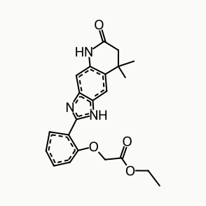 CCOC(=O)COc1ccccc1-c1nc2cc3c(cc2[nH]1)C(C)(C)CC(=O)N3